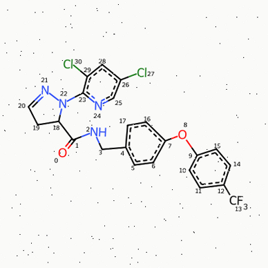 O=C(NCc1ccc(Oc2ccc(C(F)(F)F)cc2)cc1)C1CC=NN1c1ncc(Cl)cc1Cl